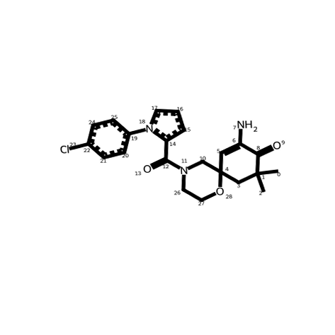 CC1(C)CC2(C=C(N)C1=O)CN(C(=O)c1cccn1-c1ccc(Cl)cc1)CCO2